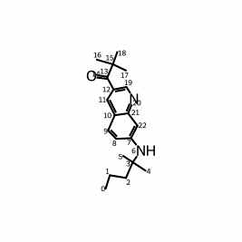 CCCC(C)(C)Nc1ccc2cc(C(=O)C(C)(C)C)cnc2c1